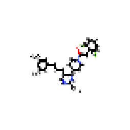 Cc1cc(C)cc(CCCc2cnc(C)nc2C2CCN(C(=O)Cc3c(F)cccc3F)CC2)c1